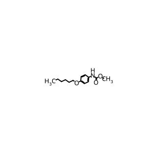 CCCCCCOc1ccc(NC(=O)OC)cc1